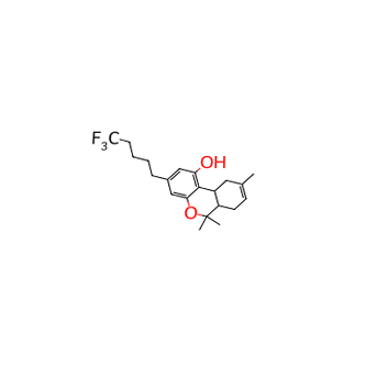 CC1=CCC2C(C1)c1c(O)cc(CCCCC(F)(F)F)cc1OC2(C)C